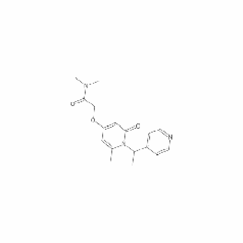 Cc1cc(OCC(=O)N(C)C)cc(=O)n1C(C)c1ccncc1